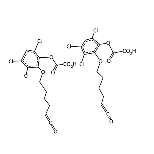 O=C=CCCCCOc1c(Cl)c(Cl)cc(Cl)c1OC(=O)C(=O)O.O=C=CCCCCOc1c(Cl)c(Cl)cc(Cl)c1OC(=O)C(=O)O